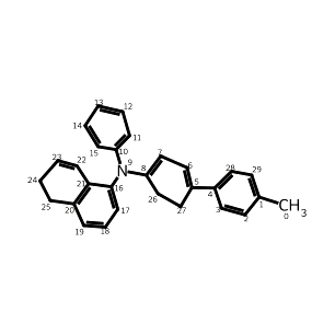 Cc1ccc(C2=CC=C(N(c3ccccc3)c3cccc4c3C=CCC4)CC2)cc1